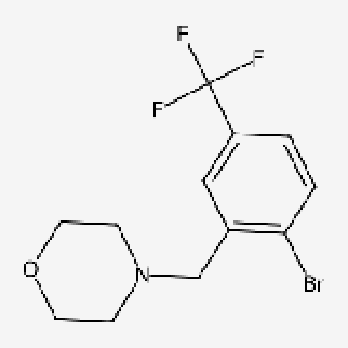 FC(F)(F)c1ccc(Br)c(CN2CCOCC2)c1